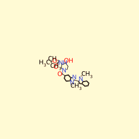 CCn1c(-c2nc3cc(C(=O)N4CCC(O)C(NC(=O)OC(C)(C)C)C4)ccc3n2C)cc2ccccc21